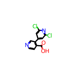 O=C(O)c1ccncc1-c1cc(Cl)nc(Cl)c1